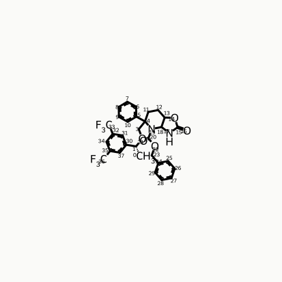 C[C@@H](OCC1(c2ccccc2)CCC2OC(=O)NC2N1C(=O)OCc1ccccc1)c1cc(C(F)(F)F)cc(C(F)(F)F)c1